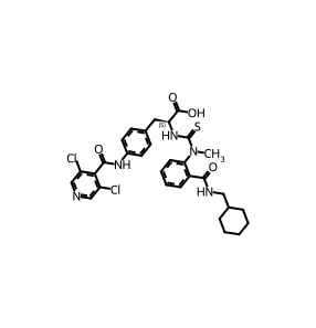 CN(C(=S)N[C@@H](Cc1ccc(NC(=O)c2c(Cl)cncc2Cl)cc1)C(=O)O)c1ccccc1C(=O)NCC1CCCCC1